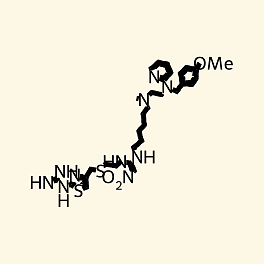 COc1ccc(CN(CCN(C)CCCCCCNC(=C[N+](=O)[O-])NCCSCc2csc(NC(=N)N)n2)c2ccccn2)cc1